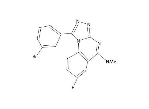 CNc1nc2nnc(-c3cccc(Br)c3)n2c2ccc(F)cc12